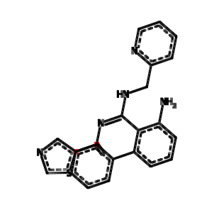 C=C(/N=C(/NCc1ccccn1)c1c(N)cccc1-c1ccccc1)c1cncs1